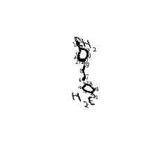 C=C[C@H]1CC[C@H](C=CCC[C@H]2CC[C@H](C=C)CC2)CC1